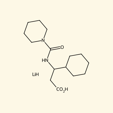 O=C(O)CC(NC(=O)N1CCCCC1)C1CCCCC1.[LiH]